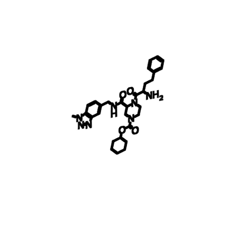 Cn1nnc2cc(CNC(=O)C3CN(C(=O)OC4CCCCC4)CCN3C(=O)C(N)CCc3ccccc3)ccc21